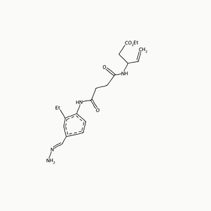 C=CC(CC(=O)OCC)NC(=O)CCC(=O)Nc1ccc(C=NN)cc1CC